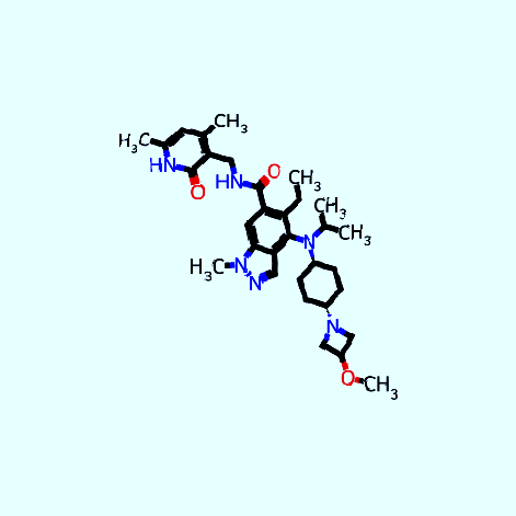 CCc1c(C(=O)NCc2c(C)cc(C)[nH]c2=O)cc2c(cnn2C)c1N(C(C)C)[C@H]1CC[C@H](N2CC(OC)C2)CC1